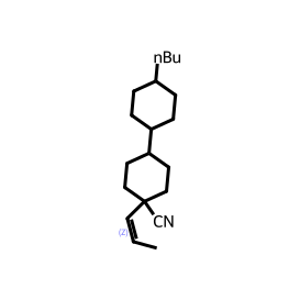 C/C=C\C1(C#N)CCC(C2CCC(CCCC)CC2)CC1